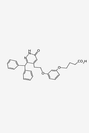 O=C(O)CCCOc1cccc(OCCc2cc(=O)[nH]nc2C(c2ccccc2)c2ccccc2)c1